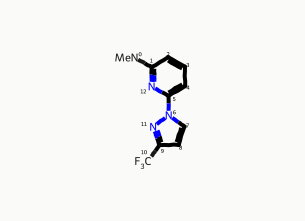 CNc1cccc(-n2ccc(C(F)(F)F)n2)n1